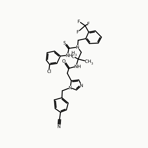 CC(C)(CN(Cc1ccccc1C(F)(F)F)C(=S)Nc1cccc(Cl)c1)NC(=O)Cc1cncn1Cc1ccc(C#N)cc1